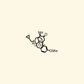 COc1ccc2c(c1)[C@]13CCCN(CC4CC4)[C@H](C2)[C@]1(OC(C)=O)CC(=N)C(=O)C3